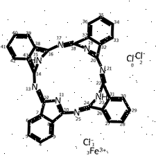 [Cl-].[Cl-].[Cl-].[Fe+3].c1ccc2c(c1)-c1nc-2nc2[nH]c(nc3nc(nc4[nH]c(n1)c1ccccc41)-c1ccccc1-3)c1ccccc21